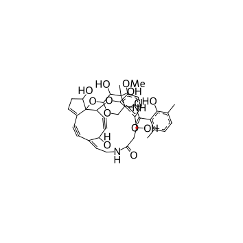 COc1ccc2c(Cl)c1OC1C#CC(O)/C(=C\CNC(=O)CC2O)C#CC2=CCC(O)C21OC1OCC(NC(=O)c2c(C)ccc(C)c2O)C(C)(O)C1O